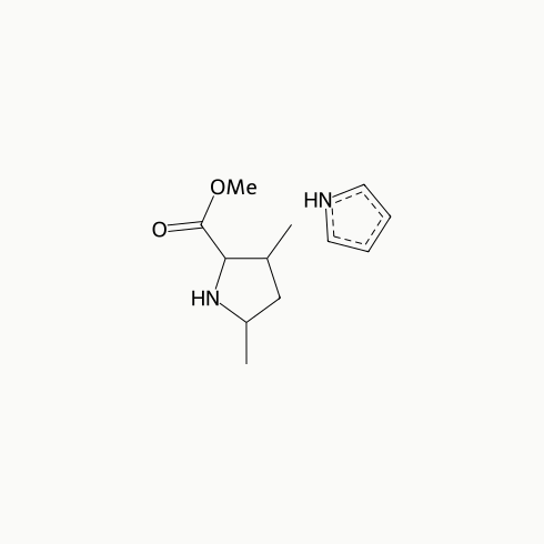 COC(=O)C1NC(C)CC1C.c1cc[nH]c1